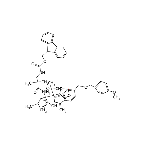 C=C(C[C@]([C@@H]1COCO1)(C(C)(C)C)[C@@](CC(C)C)(NC(=O)C(C)(C)CNC(=O)OCC1c2ccccc2-c2ccccc21)C(=O)O)c1ccc(COCc2ccc(OC)cc2)cc1